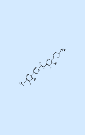 CCCC1CCC(c2ccc(OC(=O)c3ccc(-c4ccc(C5CO5)c(F)c4F)cc3)c(F)c2F)CC1